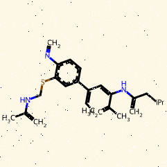 C=Nc1ccc(C(/C=C(/NC(=C)CC(C)C)C(=C)C)=C/C)cc1SCNC(=C)C